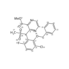 COC(=O)c1nccnc1C(c1c(F)ccc(Cl)c1OCc1ccccc1)S(C)(=O)=O